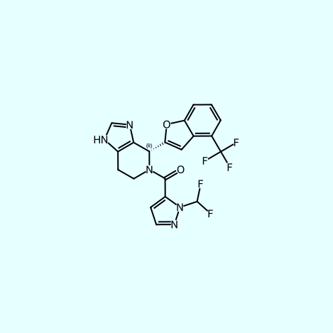 O=C(c1ccnn1C(F)F)N1CCc2[nH]cnc2[C@@H]1c1cc2c(C(F)(F)F)cccc2o1